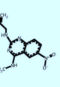 C=CCNc1nc(NC)c2cc([N+](=O)[O-])ccc2n1